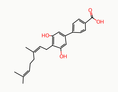 CC(C)=CCCC(C)=CCc1c(O)cc(-c2ccc(C(=O)O)cc2)cc1O